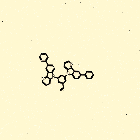 C=Cc1cc(-n2c3ccc(-c4ccccc4)cc3c3ncccc32)cc(-n2c3ccc(-c4ccccc4)cc3c3ncccc32)c1